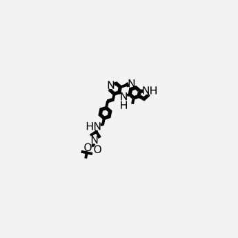 Cc1c(Nc2c(C#N)cncc2C=Cc2ccc(CNC3CN(C(=O)OC(C)(C)C)C3)cc2)ccc2[nH]ccc12